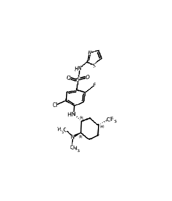 CN(C)[C@@H]1CC[C@@H](C(F)(F)F)C[C@H]1Nc1cc(F)c(S(=O)(=O)Nc2nccs2)cc1Cl